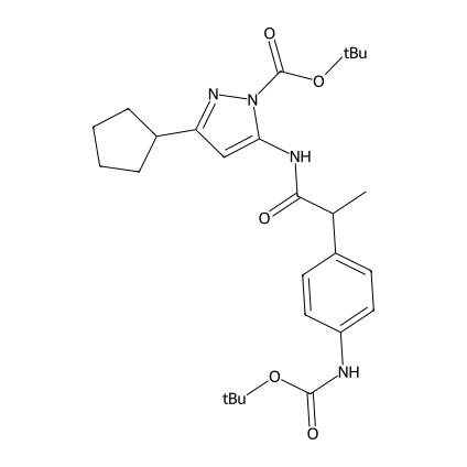 CC(C(=O)Nc1cc(C2CCCC2)nn1C(=O)OC(C)(C)C)c1ccc(NC(=O)OC(C)(C)C)cc1